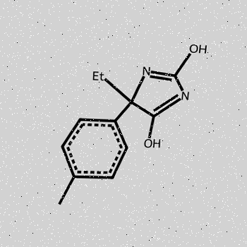 CCC1(c2ccc(C)cc2)N=C(O)N=C1O